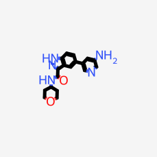 Nc1cncc(-c2ccc3[nH]nc(C(=O)NC4CCOCC4)c3c2)c1